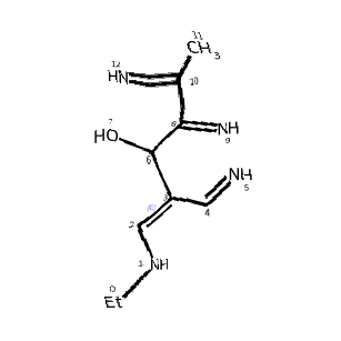 CCN/C=C(\C=N)C(O)C(=N)C(C)=N